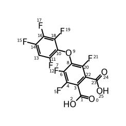 O=C(O)c1c(F)c(F)c(Oc2c(F)cc(F)c(F)c2F)c(F)c1C(=O)O